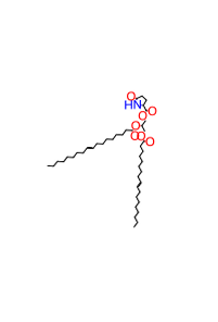 CCCCCCCCC=CCCCCCCCC(=O)OCC(COC(=O)C1CCC(=O)N1)OC(=O)CCCCCCCC=CCCCCCCCC